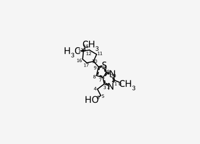 Cc1nc(CCO)c2cc(C3CCC(C)(C)CC3)sc2n1